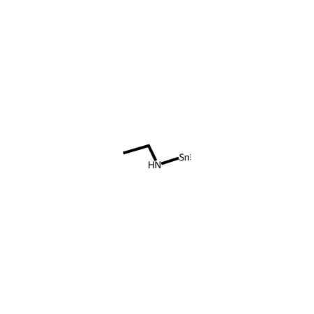 CC[NH][Sn]